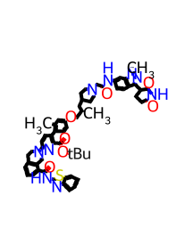 Cc1cc(OC[C@H](C)CC2CCN(CC(=O)Nc3ccc4c(C5CCC(=O)NC5=O)nn(C)c4c3)CC2)ccc1-c1ccc(N2CCc3cccc(C(=O)Nc4nc5ccccc5s4)c3C2)nc1C(=O)OC(C)(C)C